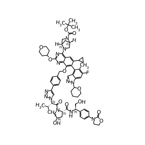 Cc1c(F)cc2c(cnn2C2CCCCO2)c1-c1c(C2CC2)cc2c(N3C[C@@H]4C[C@H]3CN4C(=O)OC(C)(C)C)nc(OC3CCOCC3)nc2c1OCc1ccc(-c2cn([C@H](C(=O)N3C[C@H](O)C[C@H]3C(=O)N[C@@H](CO)c3ccc(N4CCOC4=O)cc3)C(C)C)nn2)cc1